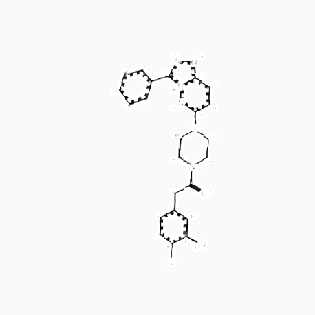 O=C(Cc1ccc(Cl)c(Cl)c1)N1CCN(c2ccc3nnc(-c4ccccc4)n3n2)CC1